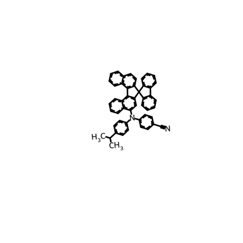 CC(C)c1ccc(N(c2ccc(C#N)cc2)c2cc3c(c4ccccc24)-c2c(ccc4ccccc24)C32c3ccccc3-c3ccccc32)cc1